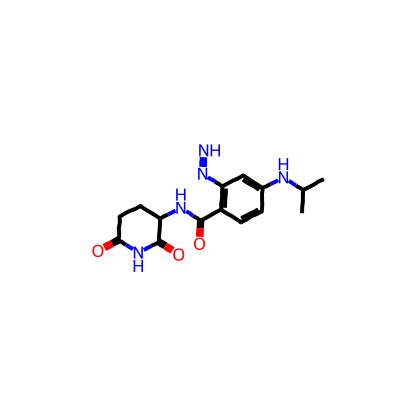 CC(C)Nc1ccc(C(=O)NC2CCC(=O)NC2=O)c(N=N)c1